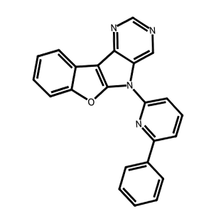 c1ccc(-c2cccc(-n3c4cncnc4c4c5ccccc5oc43)n2)cc1